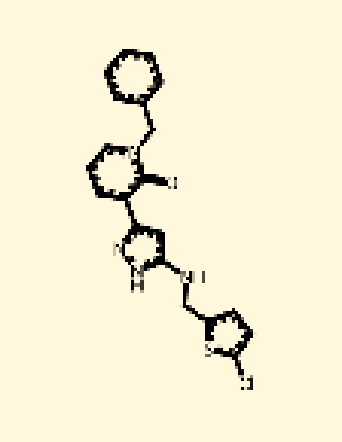 O=c1c(-c2cc(NCc3ccc(Cl)s3)[nH]n2)cccn1Cc1ccccc1